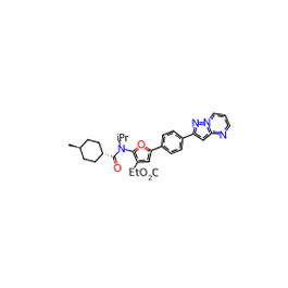 CCOC(=O)c1cc(-c2ccc(-c3cc4ncccn4n3)cc2)oc1N(C(=O)[C@H]1CC[C@H](C)CC1)C(C)C